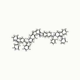 Cc1ccccc1N(c1ccc2cc3c(cc2c1)oc1c3ccc2oc3cc4cc(N(c5ccc6c7ccccc7n(-c7ccccc7)c6c5)c5ccccc5C)ccc4cc3c21)c1ccc2c3ccccc3n(-c3ccccc3)c2c1